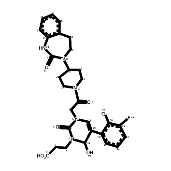 O=C(O)CCN1C(=O)N(CC(=O)N2CCC(N3CCc4ccccc4NC3=O)CC2)C=C(c2cccc(F)c2Cl)C1O